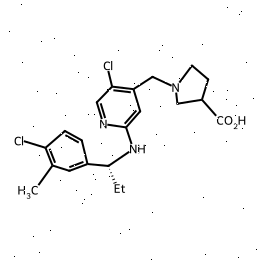 CC[C@@H](Nc1cc(CN2CCC(C(=O)O)C2)c(Cl)cn1)c1ccc(Cl)c(C)c1